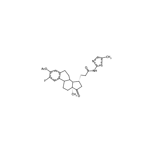 CC(=O)Oc1cc2c(cc1F)C1CC[C@]3(C)C(=O)C[C@@H](CCC(=O)Nc4ncc(C)s4)C3C1CC2